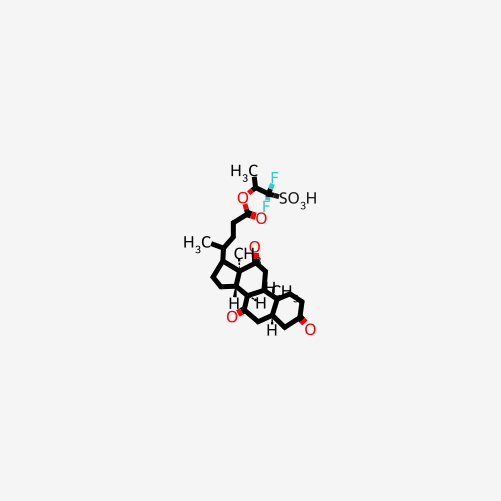 CC(CCC(=O)OC(C)C(F)(F)S(=O)(=O)O)C1CC[C@H]2[C@@H]3C(=O)C[C@@H]4CC(=O)CC[C@]4(C)[C@H]3CC(=O)[C@]12C